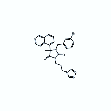 CC1(c2cccc3ccccc23)C(=O)N(CCCn2ccnc2)C(=O)N1Cc1cccc(Br)c1